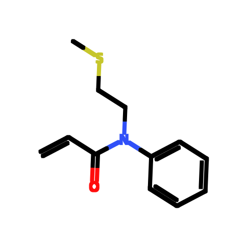 C=CC(=O)N(CCSC)c1ccccc1